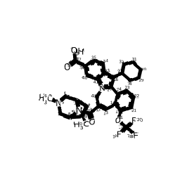 C[C@@H]1CC2CN(C)CC1N2C(=O)C1=Cc2c(OC(F)(F)F)cccc2-c2c(C3CCCCC3)c3ccc(C(=O)O)cc3n2C1